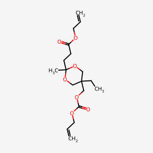 C=CCOC(=O)CCC1(C)OCC(CC)(COC(=O)OCC=C)CO1